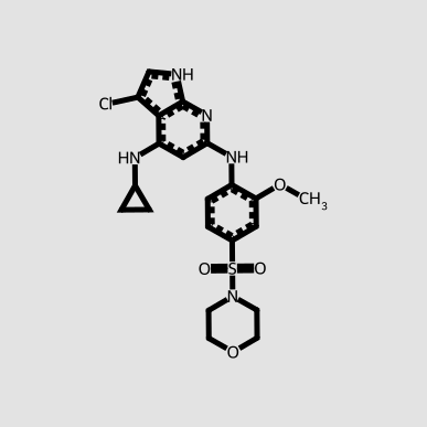 COc1cc(S(=O)(=O)N2CCOCC2)ccc1Nc1cc(NC2CC2)c2c(Cl)c[nH]c2n1